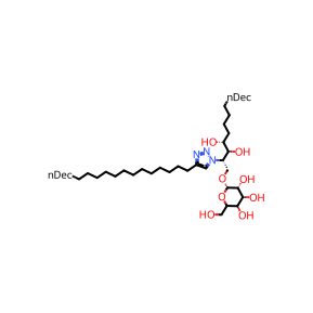 CCCCCCCCCCCCCCCCCCCCCCCc1cn([C@@H](CO[C@H]2OC(CO)[C@H](O)[C@H](O)[C@H]2O)[C@H](O)[C@H](O)CCCCCCCCCCCCCC)nn1